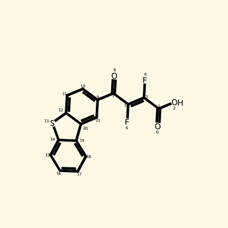 O=C(O)C(F)=C(F)C(=O)c1ccc2sc3ccccc3c2c1